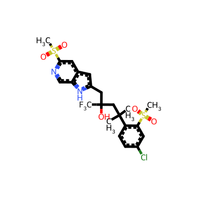 CC(C)(CC(O)(Cc1cc2cc(S(C)(=O)=O)ncc2[nH]1)C(F)(F)F)c1ccc(Cl)cc1S(C)(=O)=O